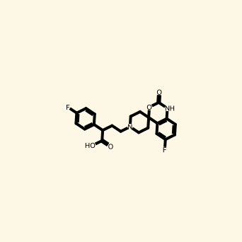 O=C1Nc2ccc(F)cc2C2(CCN(CCC(C(=O)O)c3ccc(F)cc3)CC2)O1